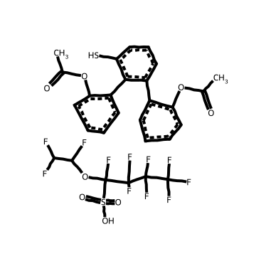 CC(=O)Oc1ccccc1-c1cccc(S)c1-c1ccccc1OC(C)=O.O=S(=O)(O)C(F)(OC(F)C(F)F)C(F)(F)C(F)(F)C(F)(F)F